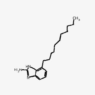 CCCCCCCCCCCc1cccc2nc(N)[nH]c12